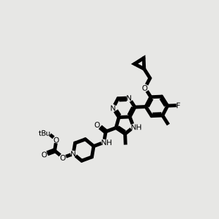 Cc1cc(-c2ncnc3c(C(=O)NC4CCN(OC(=O)OC(C)(C)C)CC4)c(C)[nH]c23)c(OCC2CC2)cc1F